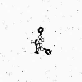 O=C(OCc1ccccc1)N1C[C@@H](CN(C(=O)OCc2ccccc2)C2CC2)[C@@H](F)C1